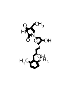 CCc1cn([C@@H]2CC(O)[C@H](CC[C@H](O)Cc3c(C)cccc3C)O2)c(=O)[nH]c1=O